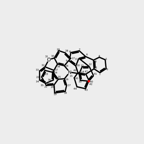 C1=CC2=C(CC1)c1cccc3c1-c1cc(N(c4cccc5ccccc45)c4cccc5oc6ccccc6c45)ccc1C1=CCCC3=C12